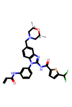 C=CC(=O)Nc1cccc(-n2c(NC(=O)c3ccc(C(F)F)s3)nc3cc(CN4C[C@@H](C)O[C@@H](C)C4)ccc32)c1